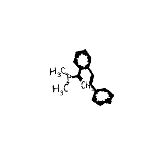 C=C(c1ccccc1/C=C/c1ccccc1)P(C)C